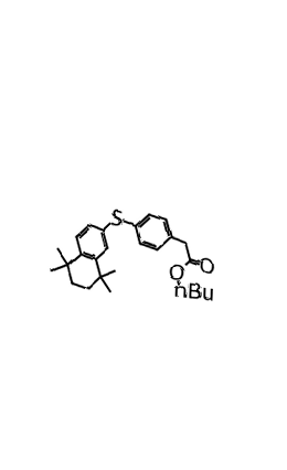 CCCCOC(=O)Cc1ccc(Sc2ccc3c(c2)C(C)(C)CCC3(C)C)cc1